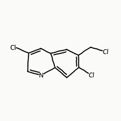 ClCc1cc2cc(Cl)cnc2cc1Cl